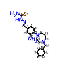 NC(=S)N/N=C/c1ccc(N2CCCN(Cc3ccccc3)CC2)c(N)c1